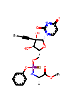 CCC#C[C@@]1(O)[C@H](O)[C@@H](COP(=S)(N[C@@H](C)C(=O)OC(C)C)Oc2ccccc2)O[C@H]1n1ccc(=O)[nH]c1=O